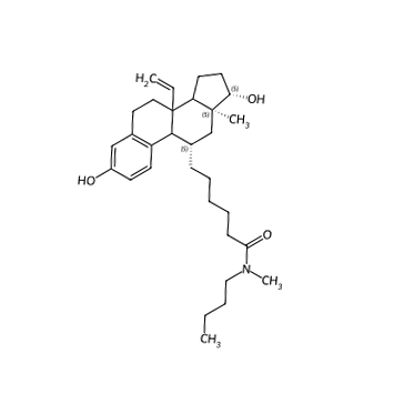 C=CC12CCc3cc(O)ccc3C1[C@@H](CCCCCC(=O)N(C)CCCC)C[C@@]1(C)C2CC[C@@H]1O